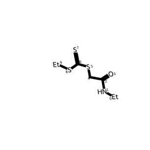 CCNC(=O)CSC(=S)SCC